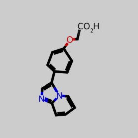 O=C(O)COc1ccc(-c2cnc3ccccn23)cc1